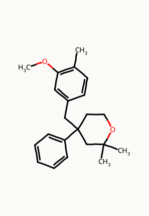 COc1cc(CC2(c3ccccc3)CCOC(C)(C)C2)ccc1C